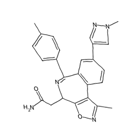 Cc1ccc(C2=NC(CC(N)=O)c3onc(C)c3-c3ccc(-c4cnn(C)c4)cc32)cc1